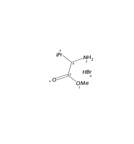 Br.COC(=O)C(N)C(C)C